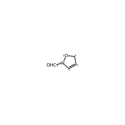 O=CN1C=CCO1